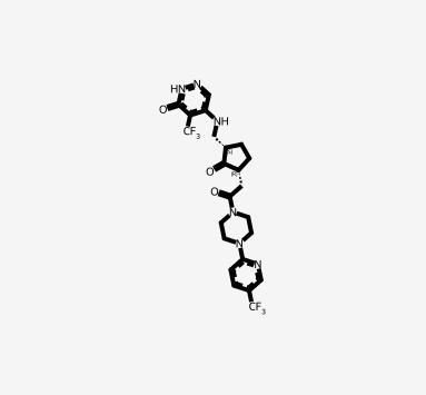 O=C1[C@@H](CC(=O)N2CCN(c3ccc(C(F)(F)F)cn3)CC2)CC[C@H]1CNc1cn[nH]c(=O)c1C(F)(F)F